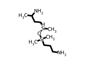 CC(N)CC[SiH](C)O[Si](C)(C)CCCN